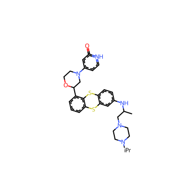 CC(CN1CCN(C(C)C)CC1)Nc1ccc2c(c1)Sc1cccc(C3CN(c4cc[nH]c(=O)c4)CCO3)c1S2